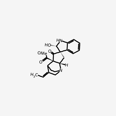 C/C=C1/CN2CCC1[C@]1(C(=O)OC)C(=O)[C@]3(C[C@H]21)c1ccccc1N[C@H]3O